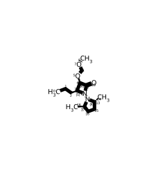 CCC[C@H]1[C@@H](OCOC)C(=O)N1N1[C@H](C)CC[C@H]1C